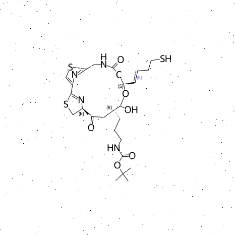 CC(C)(C)OC(=O)NCCC[C@@H]1CC(=O)[C@]2(C)CSC(=N2)c2csc(n2)CNC(=O)C[C@@H](/C=C/CCS)OC1O